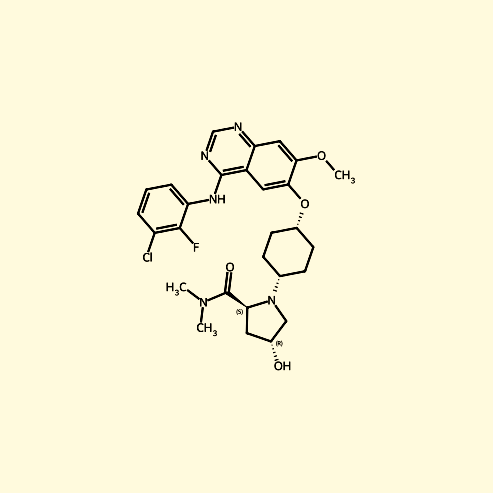 COc1cc2ncnc(Nc3cccc(Cl)c3F)c2cc1O[C@H]1CC[C@@H](N2C[C@H](O)C[C@H]2C(=O)N(C)C)CC1